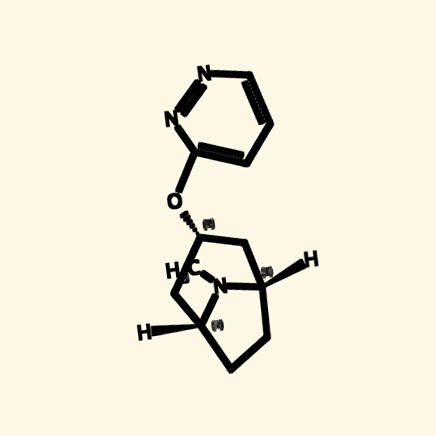 CN1[C@@H]2CC[C@H]1C[C@@H](Oc1cccnn1)C2